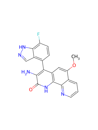 COc1cc2c(-c3ccc(F)c4[nH]ncc34)c(N)c(=O)[nH]c2c2ncccc12